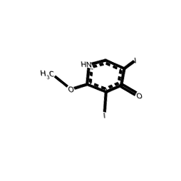 COc1[nH]cc(I)c(=O)c1I